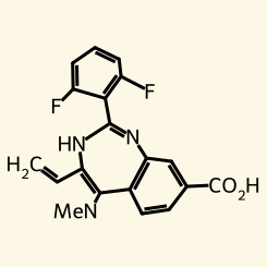 C=CC1=C(NC)c2ccc(C(=O)O)cc2N=C(c2c(F)cccc2F)N1